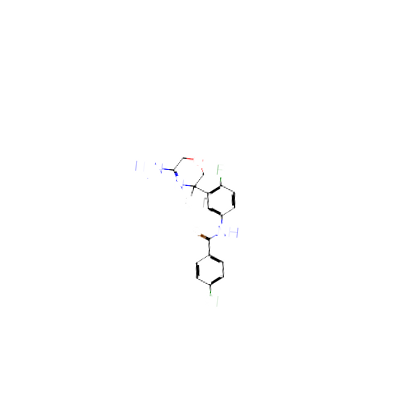 CC1(c2cc(NC(=S)c3ccc(Cl)cc3)ccc2F)COCC(N)=N1